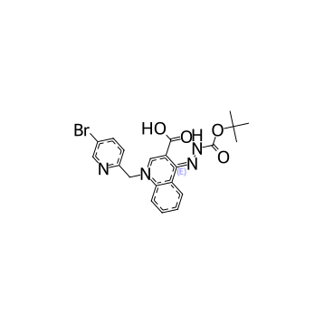 CC(C)(C)OC(=O)N/N=c1\c(C(=O)O)cn(Cc2ccc(Br)cn2)c2ccccc12